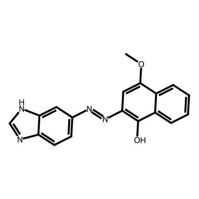 COc1cc(N=Nc2ccc3nc[nH]c3c2)c(O)c2ccccc12